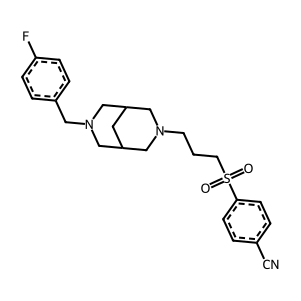 N#Cc1ccc(S(=O)(=O)CCCN2CC3CC(C2)CN(Cc2ccc(F)cc2)C3)cc1